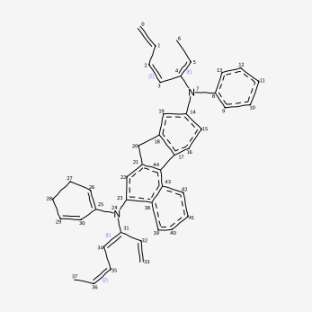 C=C/C=C\C(=C/C)N(c1ccccc1)c1ccc2c(c1)Cc1cc(N(C3=CCCC=C3)/C(C=C)=C/C=C\C)c3ccccc3c1-2